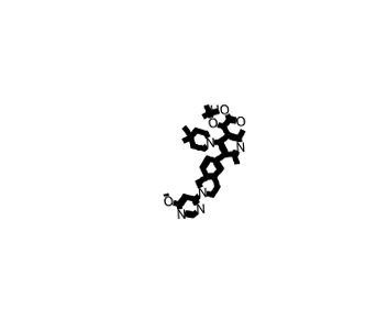 COc1cc(N2CCc3cc(-c4c(C)nc(C)c(C(OC(C)(C)C)C(=O)O)c4N4CCC(C)(C)CC4)ccc3C2)ncn1